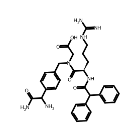 N=C(N)NCCC[C@@H](NC(=O)C(c1ccccc1)c1ccccc1)C(=O)N(CC(=O)O)Cc1ccc(C(N)C(N)=O)cc1